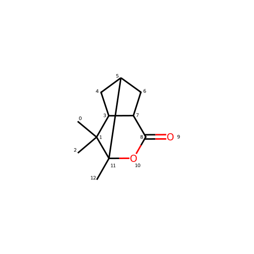 CC1(C)C2CC3CC2C(=O)OC31C